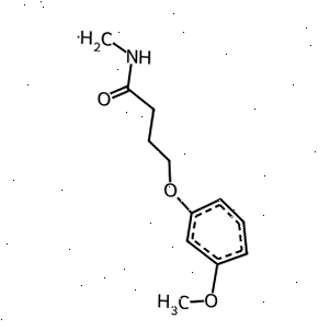 [CH2]NC(=O)CCCOc1cccc(OC)c1